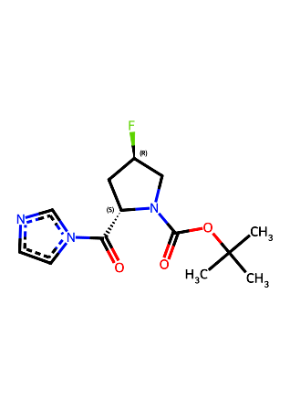 CC(C)(C)OC(=O)N1C[C@H](F)C[C@H]1C(=O)n1ccnc1